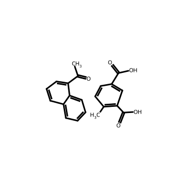 CC(=O)c1cccc2ccccc12.Cc1ccc(C(=O)O)cc1C(=O)O